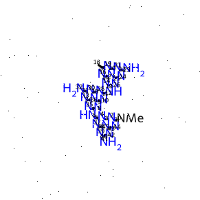 CNC1=NC2=NC(NC3=NC4=NC(NC5=NC6=NC(C)=NC7=NC(N)=NC(=N5)N67)=NC5=NC(N)=NC(=N3)N54)=NC3=NC(N)=NC(=N1)N32